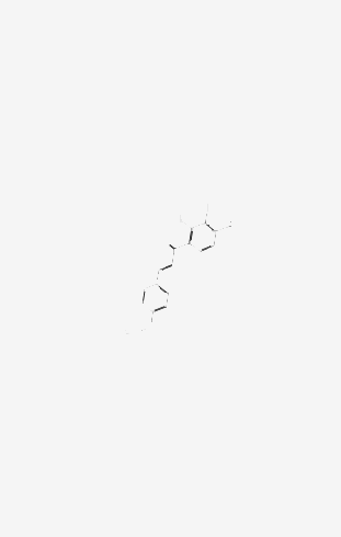 CCCCCCCCSc1ccc(C=CC(=O)c2ccc(I)c(I)c2I)cc1